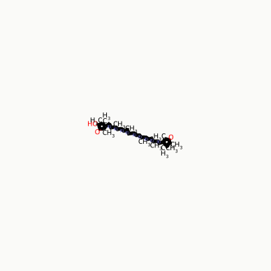 CC1=C(/C=C/C(C)=C/C=C/C(C)=C/C=C/C=C(C)/C=C/C=C(C)/C=C/C2=C(C)C(=O)[C@@H](O)C2(C)C)C(C)(C)[C@H](C)C1=O